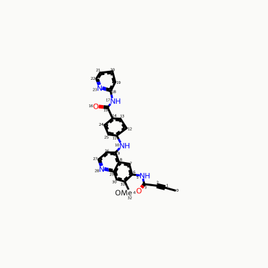 CC#CC(=O)Nc1cc2c(Nc3ccc(C(=O)Nc4ccccn4)cc3)ccnc2cc1OC